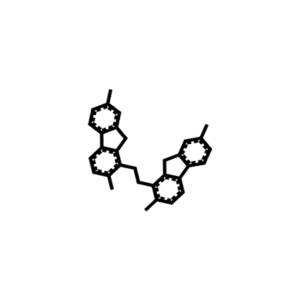 Cc1ccc2c(c1)Cc1c-2ccc(C)c1CCc1c(C)ccc2c1Cc1cc(C)ccc1-2